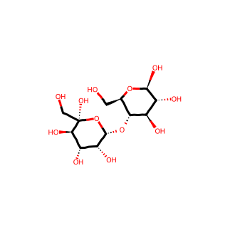 OC[C@H]1O[C@@H](O)[C@H](O)[C@@H](O)[C@@H]1O[C@H]1O[C@](O)(CO)[C@H](O)[C@@H](O)[C@H]1O